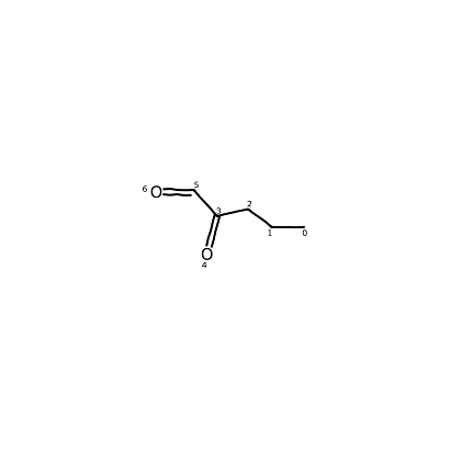 CCCC(=O)C=O